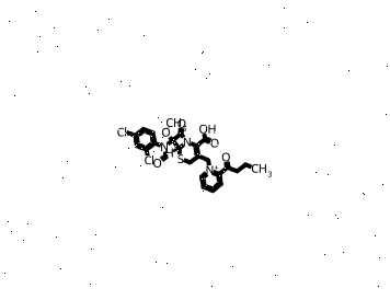 CCCC(=O)c1cccc[n+]1CC1=C(C(=O)O)N2C(=O)C(OC)(N(C=O)c3ccc(Cl)cc3Cl)[C@H]2SC1